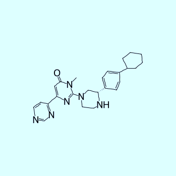 Cn1c(N2CCN[C@@H](c3ccc(C4CCCCC4)cc3)C2)nc(-c2ccncn2)cc1=O